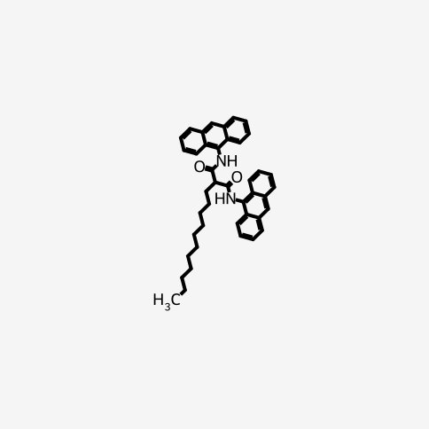 CCCCCCCCCCCC(C(=O)Nc1c2ccccc2cc2ccccc12)C(=O)Nc1c2ccccc2cc2ccccc12